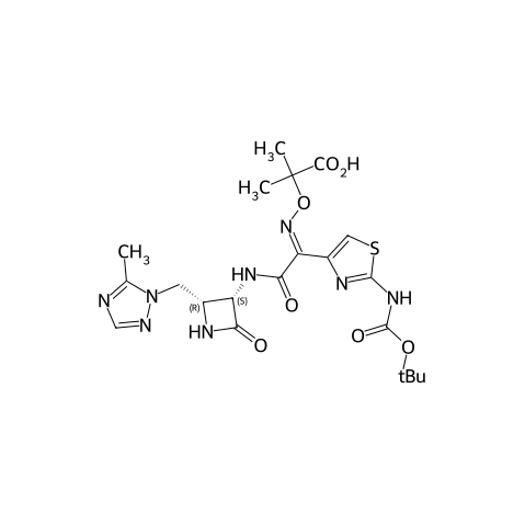 Cc1ncnn1C[C@H]1NC(=O)[C@H]1NC(=O)C(=NOC(C)(C)C(=O)O)c1csc(NC(=O)OC(C)(C)C)n1